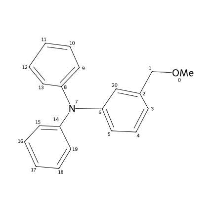 COCc1cccc(N(c2ccccc2)c2ccccc2)c1